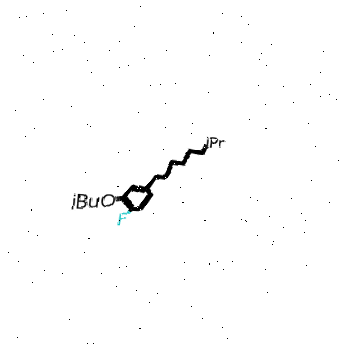 CC(C)CCCCCCc1ccc(F)c(OCC(C)C)c1